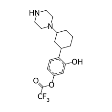 O=C(Oc1ccc(C2CCCC(N3CCNCC3)C2)c(O)c1)C(F)(F)F